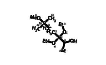 CCO[Si](C)(OCC)C(O)CC.CO[Si](C)(C)C